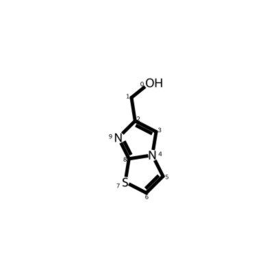 OCc1cn2ccsc2n1